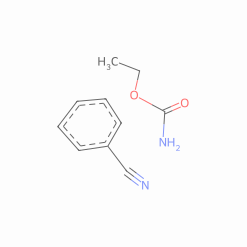 CCOC(N)=O.N#Cc1ccccc1